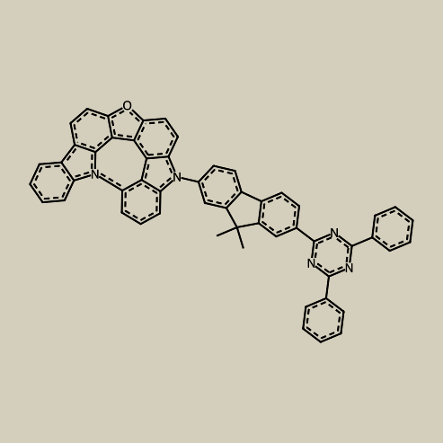 CC1(C)c2cc(-c3nc(-c4ccccc4)nc(-c4ccccc4)n3)ccc2-c2ccc(-n3c4ccc5oc6ccc7c8ccccc8n8c9cccc3c9c4c5c6c78)cc21